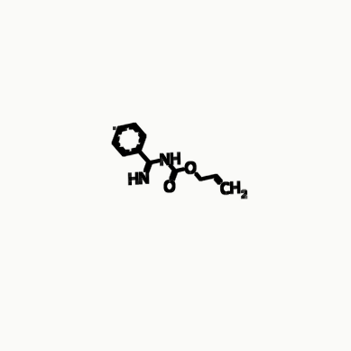 C=CCOC(=O)NC(=N)c1cc[c]cc1